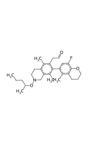 CCCC(C)ON1CCc2c(C)c(CC=O)c(-c3cc(F)c4c(c3C)CCCO4)c(C)c2C1